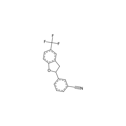 N#Cc1cccc(C2Cc3cc(C(F)(F)F)ccc3O2)c1